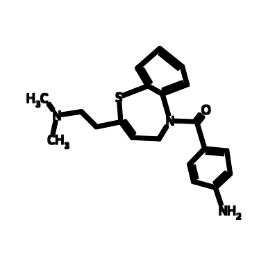 CN(C)CCC1=CCN(C(=O)c2ccc(N)cc2)c2ccccc2S1